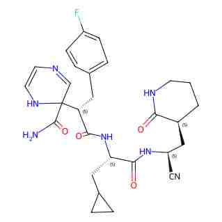 N#C[C@H](C[C@@H]1CCCNC1=O)NC(=O)[C@H](CC1CC1)NC(=O)[C@@H](Cc1ccc(F)cc1)C1(C(N)=O)C=NC=CN1